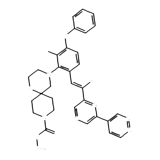 CC(C)(C)OC(=O)N1CCC2(CC1)CN(c1c(/C=C(\F)c3cncc(-c4ccnnc4)n3)ccc(Oc3ccccc3)c1C(F)(F)F)CCO2